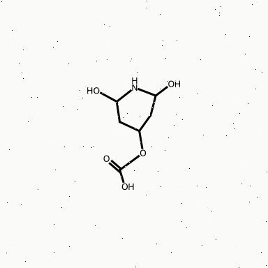 O=C(O)OC1CC(O)NC(O)C1